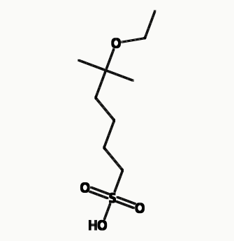 CCOC(C)(C)CCCCS(=O)(=O)O